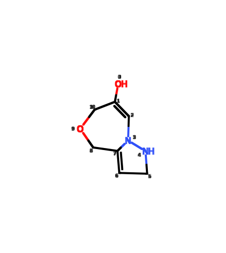 OC1=CN2NCC=C2COC1